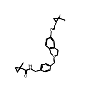 CC1(C(=O)NCc2ccc(CN3CCc4cc(OCC5CC5(F)F)ccc4C3)cc2)CC1